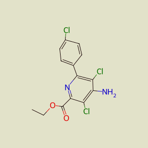 CCOC(=O)c1nc(-c2ccc(Cl)cc2)c(Cl)c(N)c1Cl